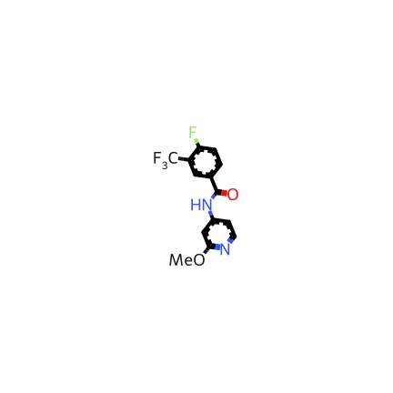 COc1cc(NC(=O)c2ccc(F)c(C(F)(F)F)c2)ccn1